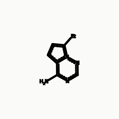 CCc1ccc2c(N)ncnn12